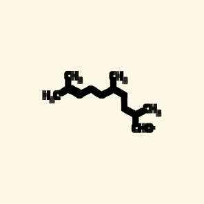 CC(C)=CCCC(C)CCC(C)[C]=O